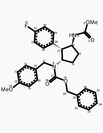 COC(=O)N[C@H]1CC[C@H](N(Cc2ccc(OC)cc2)C(=O)OCc2ccccc2)[C@@H]1c1ccc(F)cc1